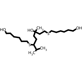 CC(C)C(CCC(C)(O)CCSCCCCCCO)SCCCCCCO